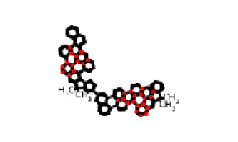 CC1(C)c2ccccc2-c2c(-c3ccccc3N(c3ccc(-c4cccc5cc(-c6ccc7c(c6)C(C)(C)c6cccc(-c8ccccc8N(c8ccc9c(ccc%10ccccc%109)c8)c8ccccc8-c8ccccc8-c8ccccc8-c8ccccc8)c6-7)cc(-c6ccccc6)c45)cc3)c3ccccc3-c3ccccc3-c3ccccc3-c3ccccc3)cccc21